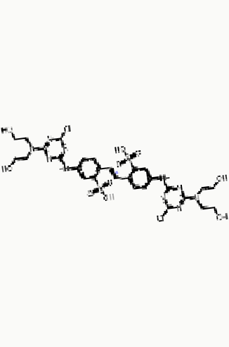 O=S(=O)(O)c1cc(Nc2nc(Cl)nc(N(CCO)CCO)n2)ccc1/C=C/c1ccc(Nc2nc(Cl)nc(N(CCO)CCO)n2)cc1S(=O)(=O)O